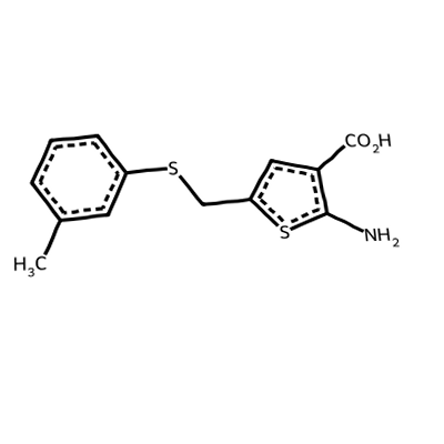 Cc1cccc(SCc2cc(C(=O)O)c(N)s2)c1